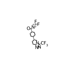 O=C(c1ccc(-c2ccc3nnc(C(F)(F)F)n3c2)cc1)N1CC(F)(F)C1